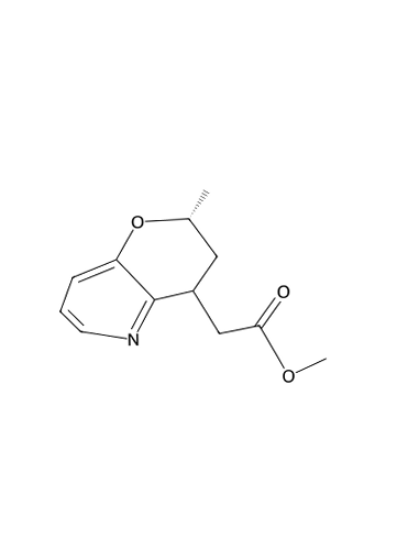 COC(=O)CC1C[C@@H](C)Oc2cccnc21